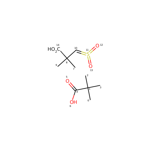 CC(C)(C)C(=O)O.CC(C)(C=S(=O)=O)C(=O)O